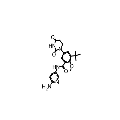 COc1c(C(=O)Nc2ccc(N)nc2)cc(N2CCC(=O)NC2=O)cc1C(C)(C)C